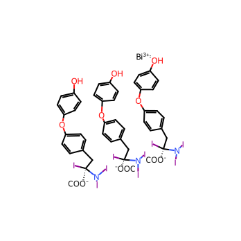 O=C([O-])[C@](I)(Cc1ccc(Oc2ccc(O)cc2)cc1)N(I)I.O=C([O-])[C@](I)(Cc1ccc(Oc2ccc(O)cc2)cc1)N(I)I.O=C([O-])[C@](I)(Cc1ccc(Oc2ccc(O)cc2)cc1)N(I)I.[Bi+3]